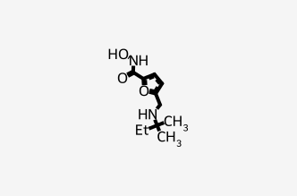 CCC(C)(C)NCc1ccc(C(=O)NO)o1